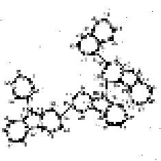 c1ccc(-n2c3ccccc3c3ccc(-c4ccc5c(c4)c4ccccc4n5-c4cc(-c5cccc6ccccc56)cc5oc6ccccc6c45)cc32)cc1